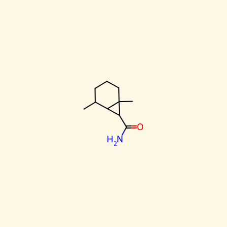 CC1CCCC2(C)C(C(N)=O)C12